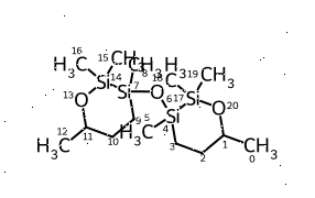 CC1CC[Si](C)(O[Si]2(C)CCC(C)O[Si]2(C)C)[Si](C)(C)O1